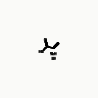 C=CC(=O)O.[KH].[NaH]